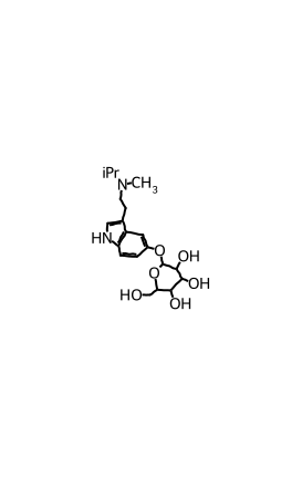 CC(C)N(C)CCc1c[nH]c2ccc(OC3OC(CO)C(O)C(O)C3O)cc12